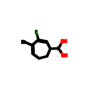 CCC1=CCCC(B(O)O)C=C1F